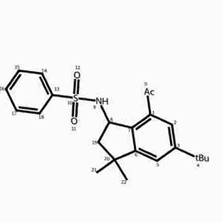 CC(=O)c1cc(C(C)(C)C)cc2c1C(NS(=O)(=O)c1ccccc1)CC2(C)C